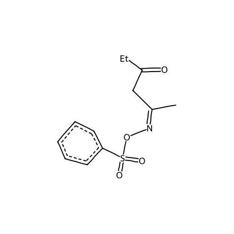 CCC(=O)CC(C)=NOS(=O)(=O)c1ccccc1